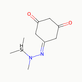 CN(N=C1CC(=O)CC(=O)C1)[SiH](C)C